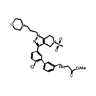 COC(=O)CNCc1cccc(-c2cc(-c3nn(CCCN4CCOCC4)c4c3CN(S(C)(=O)=O)CC4)ccc2Cl)c1